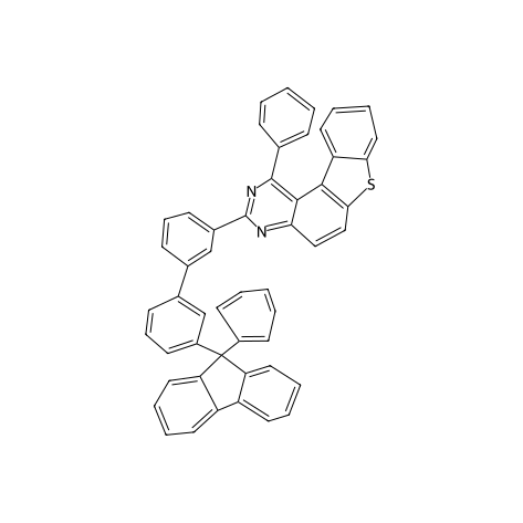 c1ccc(-c2nc(-c3cccc(-c4cccc(C5(c6ccccc6)c6ccccc6-c6ccccc65)c4)c3)nc3ccc4sc5ccccc5c4c23)cc1